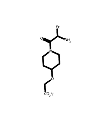 CCC(N)C(=O)N1CCC(OCC(=O)O)CC1